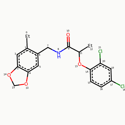 CCc1cc2c(cc1CNC(=O)C(CC)Oc1ccc(Cl)cc1Cl)OCO2